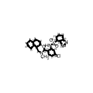 CN(Cc1cccc2ccccc12)C(=O)c1ccc(Cl)cc1NS(=O)(=O)c1cccc2nsnc12